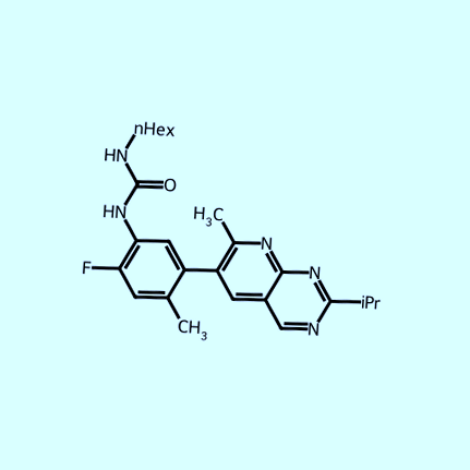 CCCCCCNC(=O)Nc1cc(-c2cc3cnc(C(C)C)nc3nc2C)c(C)cc1F